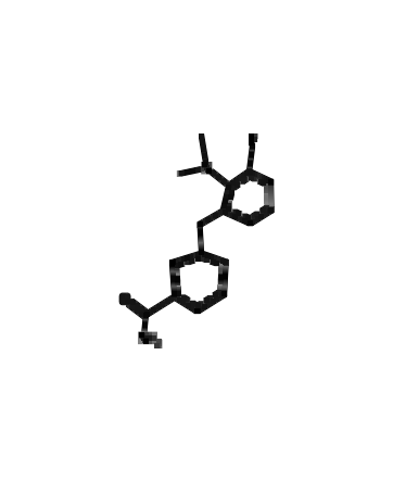 CN(C)c1c(F)cccc1Cc1cccc(C(N)=O)c1